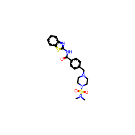 CN(C)S(=O)(=O)N1CCN(Cc2ccc(C(=O)Nc3nc4ccccc4s3)cc2)CC1